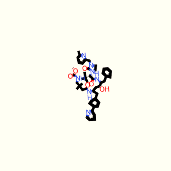 COC(=O)NCC(C)(C)CC(=O)NC(Cc1ccc(-c2ccccn2)cc1)CC(O)C(Cc1ccccc1)NC(=O)[C@@H](N1CCN(Cc2cccc(C)n2)C1=O)C(C)(C)C